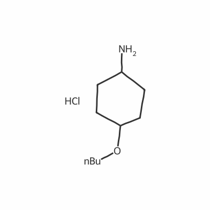 CCCCOC1CCC(N)CC1.Cl